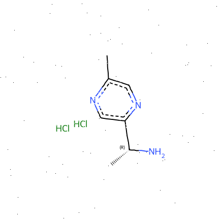 Cc1cnc([C@@H](C)N)cn1.Cl.Cl